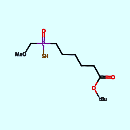 COCP(=O)(S)CCCCCC(=O)OC(C)(C)C